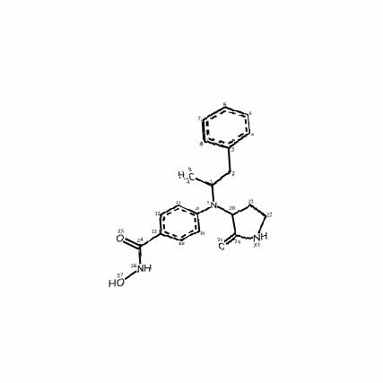 CC(Cc1ccccc1)N(c1ccc(C(=O)NO)cc1)C1CCNC1=O